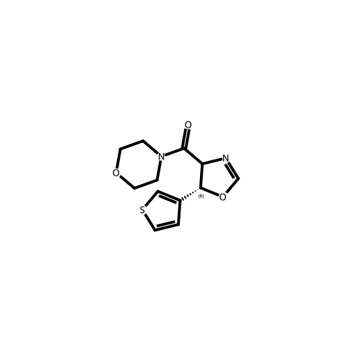 O=C(C1N=CO[C@@H]1c1ccsc1)N1CCOCC1